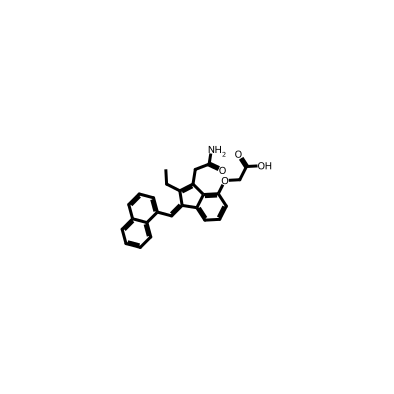 CCC1=C(CC(N)=O)c2c(OCC(=O)O)cccc2/C1=C/c1cccc2ccccc12